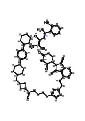 NC(N)=C(/C=C(\N)c1ccccc1O)O[C@H]1CCCN(c2ccc(N3CCN(CC4CN(C(=O)CCCCn5cc(COc6cccc7c6C(=O)N(C6CCC(=O)NC6=O)C7=O)nn5)C4)CC3)cc2)C1